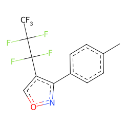 Cc1ccc(-c2nocc2C(F)(F)C(F)(F)C(F)(F)F)cc1